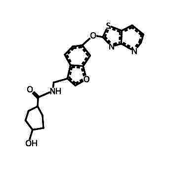 O=C(NCc1coc2cc(Oc3nc4ncccc4s3)ccc12)C1CCC(O)CC1